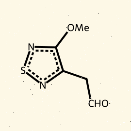 COc1nsnc1C[C]=O